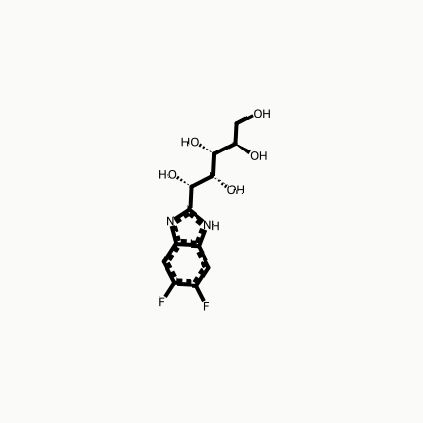 OC[C@@H](O)[C@@H](O)[C@H](O)[C@@H](O)c1nc2cc(F)c(F)cc2[nH]1